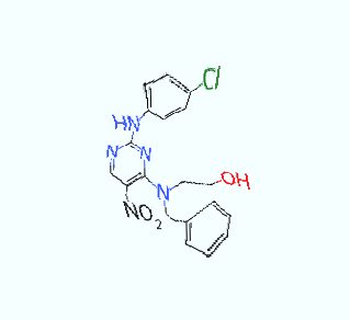 O=[N+]([O-])c1cnc(Nc2ccc(Cl)cc2)nc1N(CCO)Cc1ccccc1